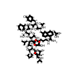 CC(=O)N[C@H](Cc1ccc2ccccc2c1)C(=O)N[C@H](Cc1ccc(Cl)cc1)C(=O)N[C@H](Cc1cccnc1)C(=O)N[C@@H](CO)C(=O)N[C@@H](Cc1ccc(O)cc1)C(=O)N[C@H](CCCCNC(N)=O)C(=O)N[C@H](CC(C)C)C(=O)N[C@@H](CCCCNC(C)C)C(=O)N1CCC[C@H]1C(=O)N[C@H](C)C(N)=O.CC(=O)O